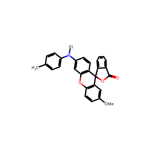 CCN(c1ccc(C)cc1)c1ccc2c(c1)Oc1ccc(OC)cc1C21OC(=O)c2ccccc21